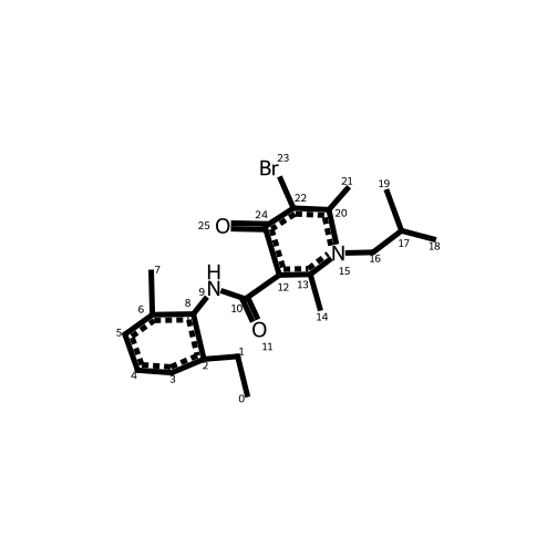 CCc1cccc(C)c1NC(=O)c1c(C)n(CC(C)C)c(C)c(Br)c1=O